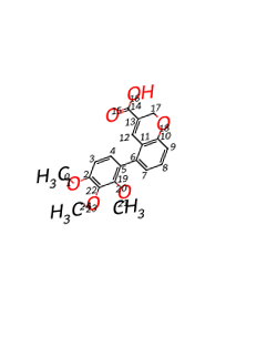 COc1ccc(-c2cccc3c2C=C(C(=O)O)CO3)c(OC)c1OC